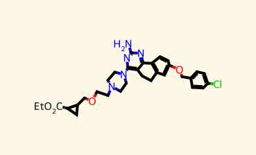 CCOC(=O)C1CC1COCCN1CCN(c2nc(N)nc3c2CCc2cc(OCc4ccc(Cl)cc4)ccc2-3)CC1